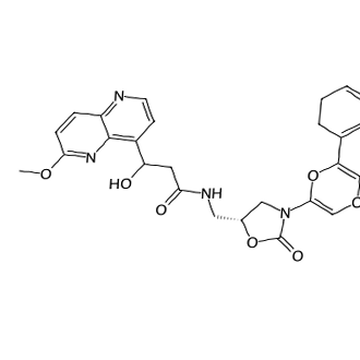 COc1ccc2nccc(C(O)CC(=O)NC[C@@H]3CN(C4=COC=C(C5=CC=CCC5)O4)C(=O)O3)c2n1